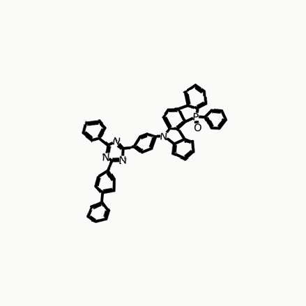 O=P1(c2ccccc2)c2ccccc2-c2ccc3c(c21)c1ccccc1n3-c1ccc(-c2nc(-c3ccccc3)nc(-c3ccc(-c4ccccc4)cc3)n2)cc1